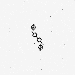 c1cc(-c2ccc(C[N+]34CCN(CC3)CC4)cc2)ccc1C[N+]12CCN(CC1)CC2